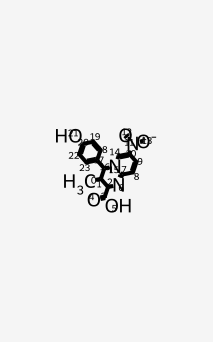 CC1C(C(=O)O)N=C2C=CC([N+](=O)[O-])=CN2C1c1ccc(O)cc1